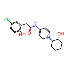 O=C(Cc1cc(Cl)ccc1O)NC1=CCN([C@@H]2CCCC[C@H]2O)C=C1